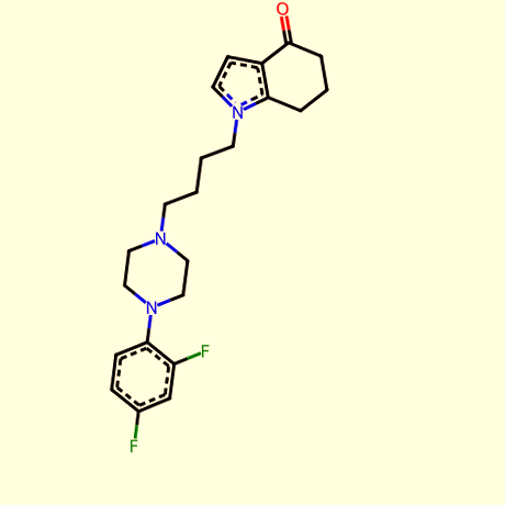 O=C1CCCc2c1ccn2CCCCN1CCN(c2ccc(F)cc2F)CC1